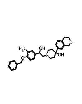 Cc1cc(C(O)CN2CCC(O)(c3ccc4c(c3)COCC4)CC2)ccc1OCc1ccccc1